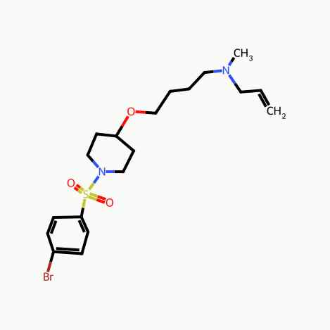 C=CCN(C)CCCCOC1CCN(S(=O)(=O)c2ccc(Br)cc2)CC1